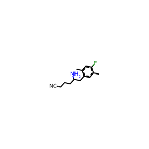 Cc1cc(CC(N)CCCC#N)c(C)cc1F